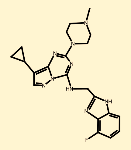 CN1CCN(c2nc(NCc3nc4c(F)cccc4[nH]3)n3ncc(C4CC4)c3n2)CC1